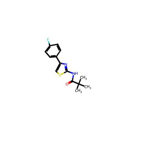 CC(C)(C)C(=O)Nc1nc(-c2ccc(F)cc2)cs1